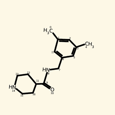 Cc1cc(C)cc(CNC(=O)C2CCNCC2)c1